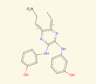 C/C=c1/nc(Nc2cccc(O)c2)c(Nc2cccc(O)c2)n/c1=C/C[N+](=O)[O-]